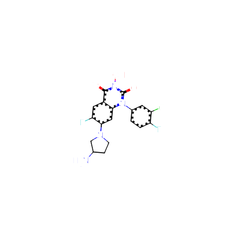 NC1CCN(c2cc3c(cc2F)c(=O)n(O)c(=O)n3-c2ccc(F)c(Cl)c2)C1